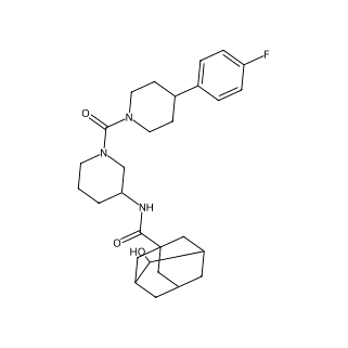 O=C(N1CCC(c2ccc(F)cc2)CC1)N1CCCC(NC(=O)C23CC4CC(C2)C(O)C(C4)C3)C1